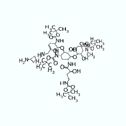 CN(C(=O)OC(C)(C)C)[C@@H]1[C@@H](O)[C@@H](O[C@@H]2[C@@H](O)[C@H](O[C@H]3OC(CNC[C@H]4C[C@H](N)C4)=CC[C@H]3NC(=O)OC(C)(C)C)[C@@H](NC(=O)OC(C)(C)C)C[C@H]2NC(=O)[C@@H](O)CCNC(=O)OC(C)(C)C)OC[C@]1(C)O